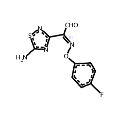 Nc1nc(/C([C]=O)=N\Oc2ccc(F)cc2)ns1